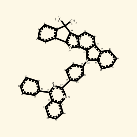 CC1(C)c2ccccc2-c2oc3c(ccc4c5ccccc5n(-c5ccc(-c6nc(-c7ccccc7)c7ccccc7n6)cc5)c43)c21